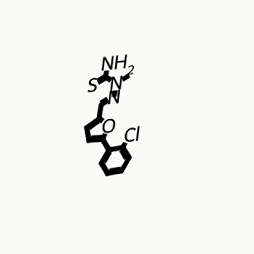 CN(N=Cc1ccc(-c2ccccc2Cl)o1)C(N)=S